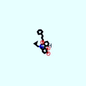 COc1ccc2c3c1O[C@H]1CCC[C@@]4(OC/C=C/c5ccccc5)C(C2)N(CC2CC2)CC[C@]314